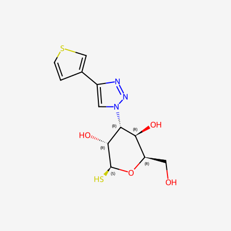 OC[C@H]1O[C@@H](S)[C@H](O)[C@H](n2cc(-c3ccsc3)nn2)[C@H]1O